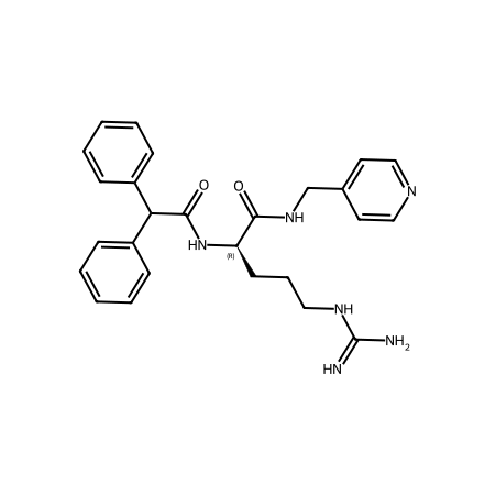 N=C(N)NCCC[C@@H](NC(=O)C(c1ccccc1)c1ccccc1)C(=O)NCc1ccncc1